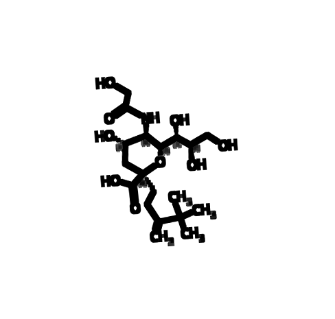 C=C(CC[C@]1(C(=O)O)C[C@H](O)[C@@H](NC(=O)CO)[C@H]([C@H](O)[C@H](O)CO)O1)C(C)(C)C